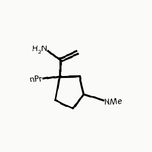 C=C(N)C1(CCC)CCC(NC)C1